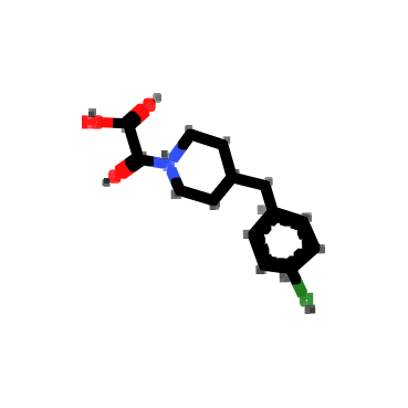 O=C(O)C(=O)N1CCC(Cc2ccc(Cl)cc2)CC1